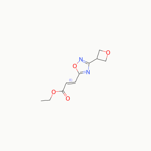 CCOC(=O)/C=C/c1nc(C2COC2)no1